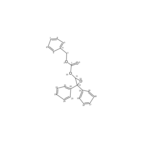 O=C(OCc1ccccc1)OC1OC1(c1ccccc1)c1ccccc1